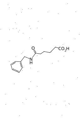 O=C(O)CCCCC(=O)NCc1ccccc1